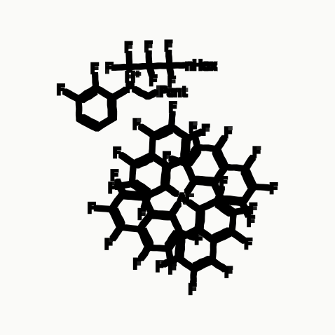 CCCCCCC(F)(F)C(F)(F)C(F)(F)[PH+](CC(C)CCC)c1cccc(F)c1F.Fc1cc2[c]([Al-]([c]3c(F)c(F)c(F)c4c(F)c(F)c(F)cc34)([c]3c(F)c(F)c(F)c4c(F)c(F)c(F)cc34)[c]3c(F)c(F)c(F)c4c(F)c(F)c(F)cc34)c(F)c(F)c(F)c2c(F)c1F